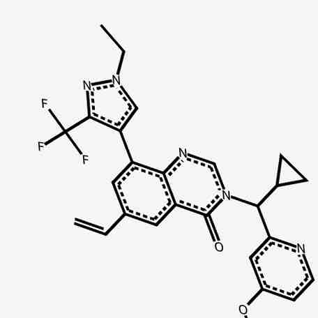 C=Cc1cc(-c2cn(CC)nc2C(F)(F)F)c2ncn(C(c3cc(OC)ccn3)C3CC3)c(=O)c2c1